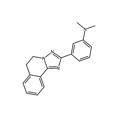 CN(C)c1cccc(-c2nc3n(n2)CCc2ccccc2-3)c1